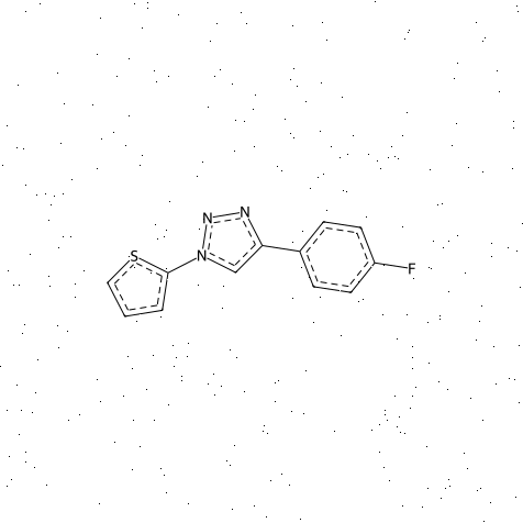 Fc1ccc(-c2cn(-c3cccs3)nn2)cc1